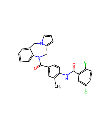 Cc1cc(C(=O)N2Cc3cccn3Cc3ccccc32)ccc1NC(=O)c1cc(Cl)ccc1Cl